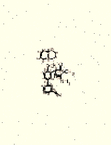 CN1C(=O)[C@@]2(C[C@@H](C3CCCc4ccccc43)Oc3ccc(-c4cccc(C#N)c4)cc32)N=C1N